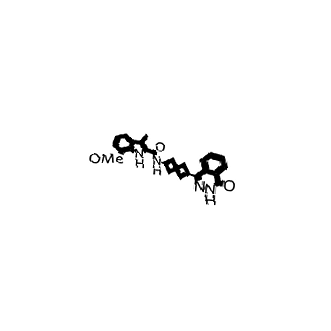 COc1cccc2c(C)c(C(=O)N[C@H]3CC4(C3)C[C@H](c3n[nH]c(=O)c5ccccc53)C4)[nH]c12